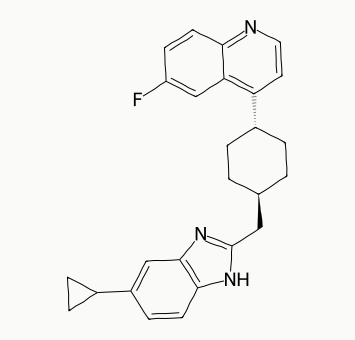 Fc1ccc2nccc([C@H]3CC[C@H](Cc4nc5cc(C6CC6)ccc5[nH]4)CC3)c2c1